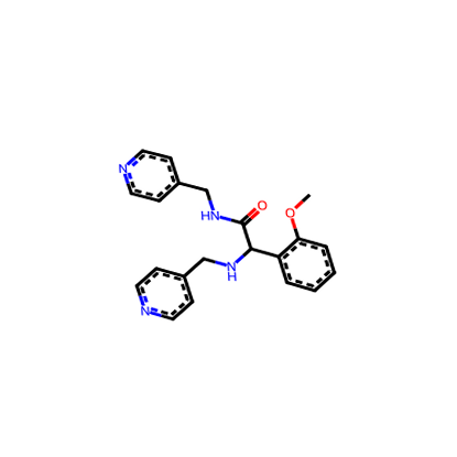 COc1ccccc1C(NCc1ccncc1)C(=O)NCc1ccncc1